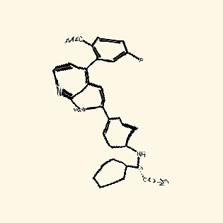 COc1ccc(F)cc1-c1ccnc2[nH]c(C3=CCC(N[C@H](C(=O)O)C4CCCCC4)CC3)cc12